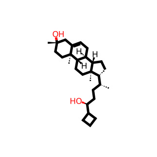 C[C@H](CC[C@H](O)C1CCC1)[C@H]1CC[C@H]2[C@@H]3CC=C4C[C@@](C)(O)CC[C@]4(C)[C@H]3CC[C@]12C